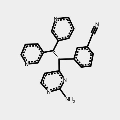 N#Cc1cccc([C@H](c2ccnc(N)n2)C(c2cccnc2)c2cccnc2)c1